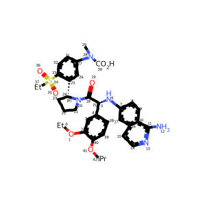 CCOc1cc([C@H](Nc2ccc3c(N)nccc3c2)C(=O)N2CCC[C@@H]2c2cc(N(C)C(=O)O)ccc2S(=O)(=O)CC)ccc1OC(C)C